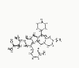 C[C@H]1CC[C@H](Cn2c(C(=O)C3CCOCC3)nc3nc(C(=N)NC(=O)O)nc(-c4cccc(Cl)c4)c32)CC1